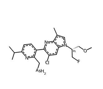 COC[C@H](CF)n1cc(C)c2nc(-c3ccc(C(C)C)nc3C[AsH2])c(Cl)cc21